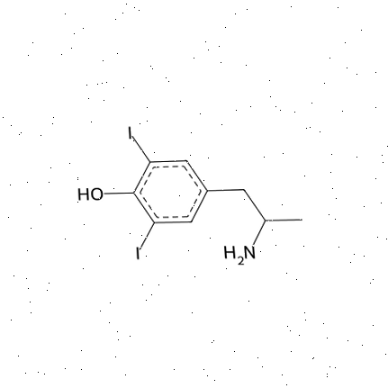 CC(N)Cc1cc(I)c(O)c(I)c1